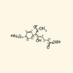 CCCCCCCCCc1ccc(C(C(O)CCCC(=O)OC)[S+](C)[O-])cc1